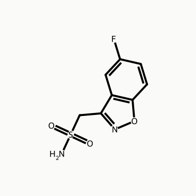 NS(=O)(=O)Cc1noc2ccc(F)cc12